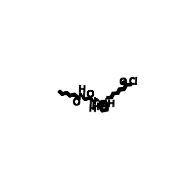 CCCCCC(=O)NCC(=O)NC[C@@H]1[C@H](CCCCC=CC(=O)CCl)[C@@H]2CC[C@H]1O2